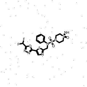 N=S1(=O)CCN(S(=O)(=O)N(Cc2ncc(-c3nnc(C(F)F)o3)s2)c2ccccc2)CC1